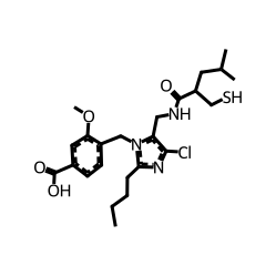 CCCCc1nc(Cl)c(CNC(=O)C(CS)CC(C)C)n1Cc1ccc(C(=O)O)cc1OC